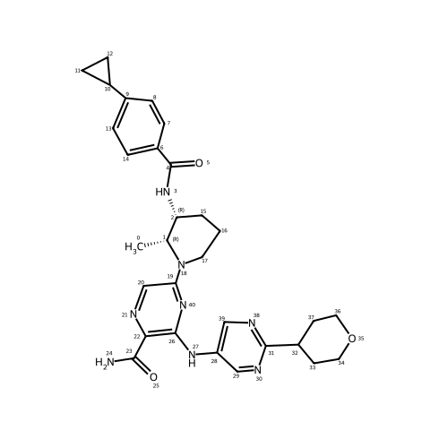 C[C@@H]1[C@H](NC(=O)c2ccc(C3CC3)cc2)CCCN1c1cnc(C(N)=O)c(Nc2cnc(C3CCOCC3)nc2)n1